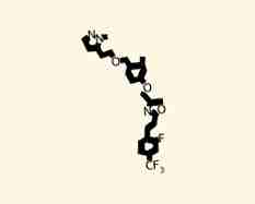 Cc1cc(OCc2coc(C=Cc3ccc(C(F)(F)F)cc3F)n2)ccc1COCCc1ccnn1C